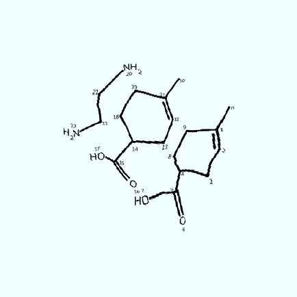 CC1=CCC(C(=O)O)CC1.CC1=CCC(C(=O)O)CC1.NCCN